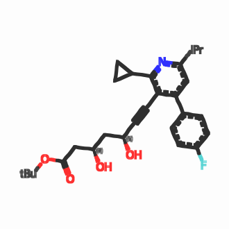 CC(C)c1cc(-c2ccc(F)cc2)c(C#C[C@@H](O)C[C@@H](O)CC(=O)OC(C)(C)C)c(C2CC2)n1